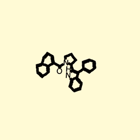 O=C(c1cccc2ccccc12)N1CCCC1c1[nH]c2ccccc2c1-c1ccccc1